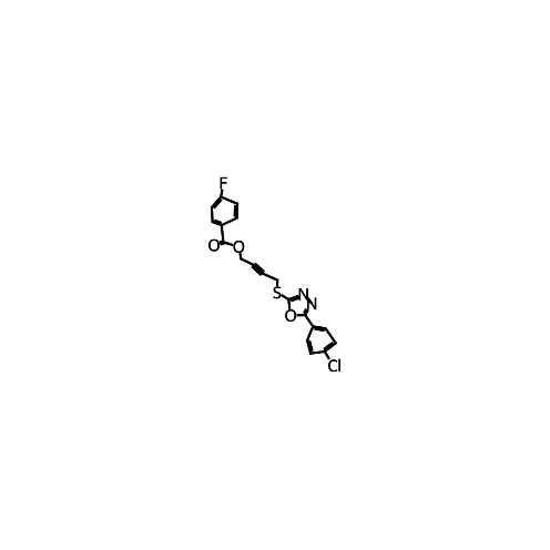 O=C(OCC#CCSc1nnc(-c2ccc(Cl)cc2)o1)c1ccc(F)cc1